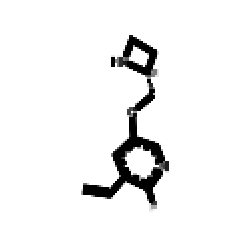 C=Cc1cc(OC[C@H]2CCN2)cnc1F